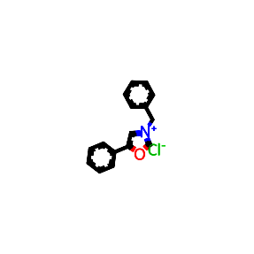 [Cl-].c1ccc(C[n+]2coc(-c3ccccc3)c2)cc1